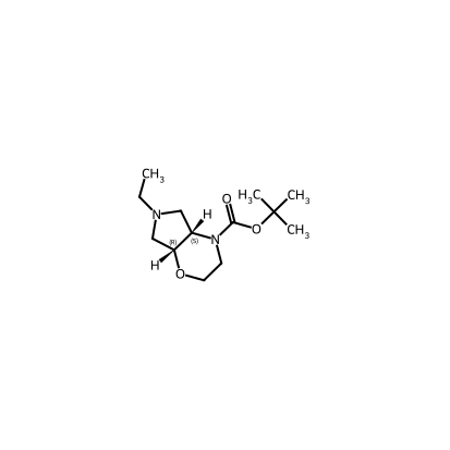 CCN1C[C@H]2OCCN(C(=O)OC(C)(C)C)[C@H]2C1